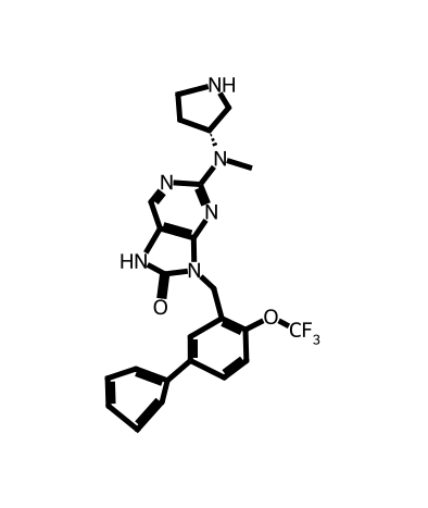 CN(c1ncc2[nH]c(=O)n(Cc3cc(-c4ccccc4)ccc3OC(F)(F)F)c2n1)[C@@H]1CCNC1